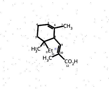 CCC1(C)CCC=C(C)C1/C=C(\C)C(=O)O